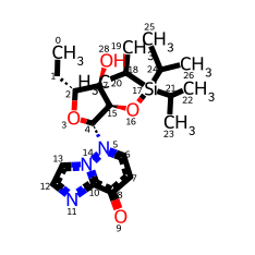 CC[C@H]1O[C@@H](n2ccc(=O)c3nccn32)[C@H](O[Si](C(C)C)(C(C)C)C(C)C)[C@@H]1O